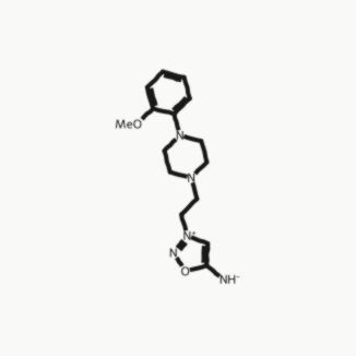 COc1ccccc1N1CCN(CC[n+]2cc([NH-])on2)CC1